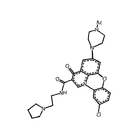 CC(=O)N1CCN(c2cc3c4c(c2)c(=O)c(C(=O)NCCN2CCCC2)cn4-c2cc(Cl)ccc2O3)CC1